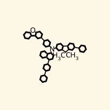 CC1(C)c2cc(-c3ccccc3)ccc2-c2ccc(N(c3ccc(-c4ccc5oc6ccccc6c5c4)cc3)c3ccc(-c4ccc(-c5ccccc5)cc4)c4ccccc34)cc21